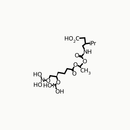 CC(OC(=O)CCC[C@H](CON(O)O)ON(O)O)OC(=O)NCC(CC(=O)O)C(C)C